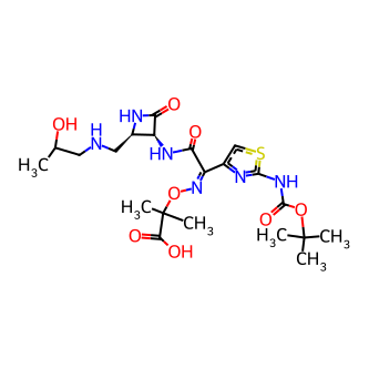 CC(O)CNC[C@H]1NC(=O)[C@H]1NC(=O)C(=NOC(C)(C)C(=O)O)c1csc(NC(=O)OC(C)(C)C)n1